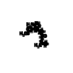 COc1cccc(-c2nn(C3CCN(C(=O)/C=C/CN(C)C4CCC4)C3)c3ncnc(N)c23)c1